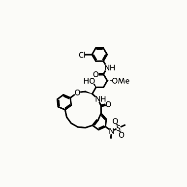 CO[C@H](C[C@H](O)[C@@H]1COc2cccc(c2)CCCCc2cc(cc(N(C)S(C)(=O)=O)c2)C(=O)N1)C(=O)Nc1cccc(Cl)c1